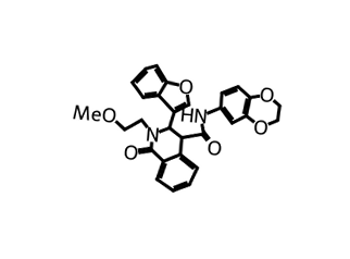 COCCN1C(=O)c2ccccc2C(C(=O)Nc2ccc3c(c2)OCCO3)C1c1coc2ccccc12